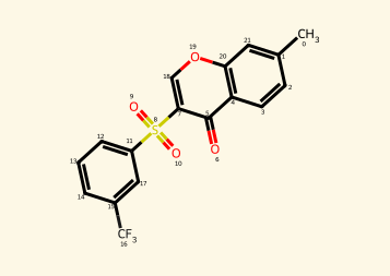 Cc1ccc2c(=O)c(S(=O)(=O)c3cccc(C(F)(F)F)c3)coc2c1